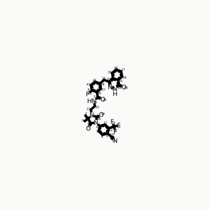 CC1(C)C(=O)N(c2ccc(C#N)c(C(F)(F)F)c2)C(=O)N1CCNC(=O)c1cc(Cc2n[nH]c(=O)c3ccccc23)ccc1F